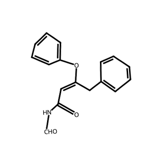 O=CNC(=O)/C=C(\Cc1ccccc1)Oc1ccccc1